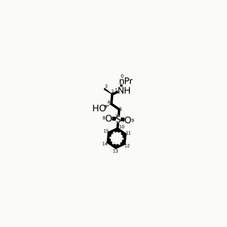 CCCN[C@H](C)[C@@H](O)CS(=O)(=O)c1ccccc1